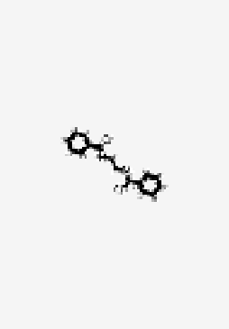 ClC(=NCCN=C(Cl)c1ccccc1)c1ccccc1